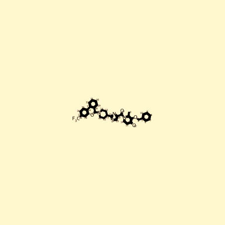 Cc1c(OCc2ccccc2)c(=O)ccn1C(=O)c1csc(C2CCN(C(=O)c3ccccc3-c3ccc(C(F)(F)F)cc3)CC2)n1